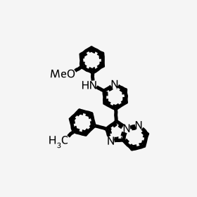 COc1ccccc1Nc1cc(-c2c(-c3cccc(C)c3)nc3cccnn23)ccn1